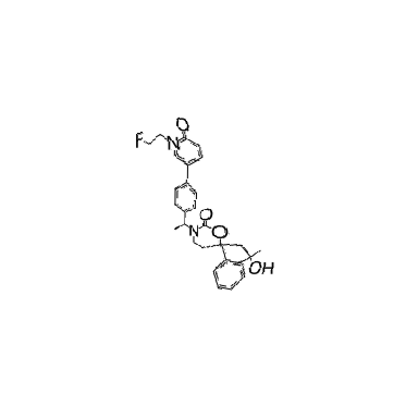 C[C@@H](c1ccc(-c2ccc(=O)n(CCF)c2)cc1)N1CCC(CC(C)(C)O)(c2ccccc2)OC1=O